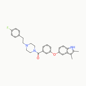 Cc1[nH]c2ccc(Oc3cccc(C(=O)N4CCN(CCc5ccc(F)cc5)CC4)c3)cc2c1C